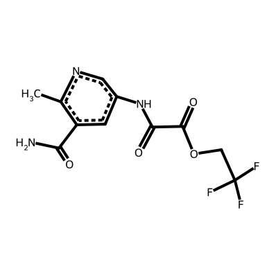 Cc1ncc(NC(=O)C(=O)OCC(F)(F)F)cc1C(N)=O